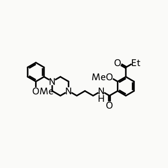 CCC(=O)c1cccc(C(=O)NCCCN2CCN(c3ccccc3OC)CC2)c1OC